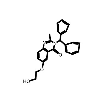 Cc1nc2ccc(OCCO)cc2c(=O)n1C(c1ccccc1)c1ccccc1